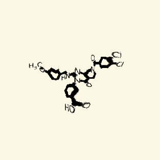 COc1ccc(CNc2nc3c(c(=O)n2-c2cccc(C(=O)O)c2)CCN(C(=O)c2ccc(Cl)c(Cl)c2)C3)cc1